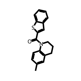 Cc1ccc2c(c1)CCCN2C(=O)c1cc2ccccc2s1